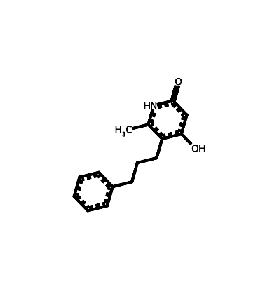 Cc1[nH]c(=O)cc(O)c1CCCc1ccccc1